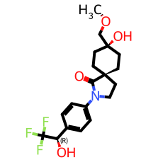 COC[C@]1(O)CC[C@]2(CCN(c3ccc([C@@H](O)C(F)(F)F)cc3)C2=O)CC1